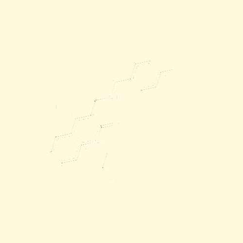 CCCn1c(=O)c(C(=O)NCc2ccc(OC)cc2)c(C)c2ccccc21